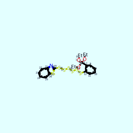 CCO[Si](OCC)(OCC)c1ccccc1SSSSSSc1nc2ccccc2s1